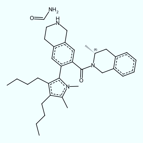 CCCCc1c(CCCC)c(-c2cc3c(cc2C(=O)N2Cc4ccccc4C[C@H]2C)CNCC3)n(C)c1C.NC=O